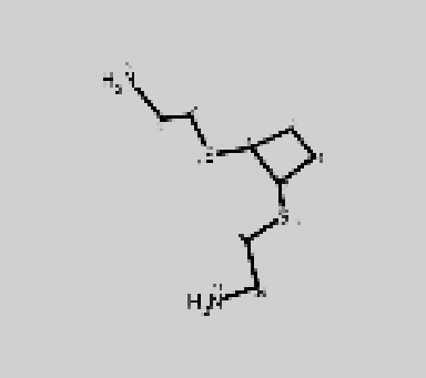 NCCSC1CCC1SCCN